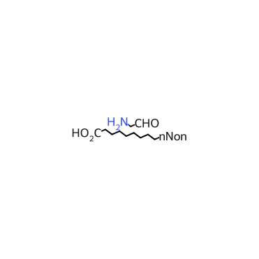 CCCCCCCCCCCCCCCCCC(=O)O.NCC=O